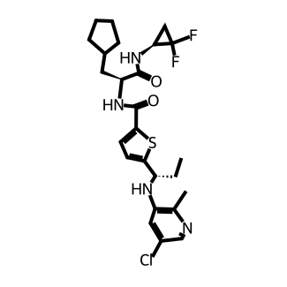 CC[C@H](Nc1cc(Cl)cnc1C)c1ccc(C(=O)N[C@@H](CC2CCCC2)C(=O)N[C@H]2CC2(F)F)s1